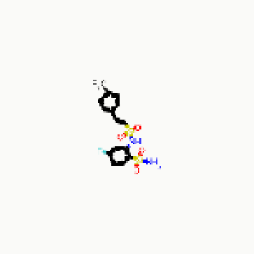 NS(=O)(=O)c1ccc(F)cc1NS(=O)(=O)C=Cc1ccc(C(F)(F)F)cc1